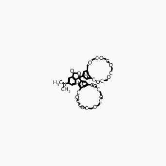 CN(C)c1ccc2c(c1)C(=O)OC2(c1cc2c(O)c(c1)COCCOCCOCCOCCOC2)c1cc2c(O)c(c1)COCCOCCOCCOCCOC2